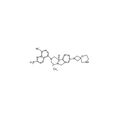 Bc1ccc2c(N3C[C@@H](C)N4Cc5cc(N6CC7(CNCCO7)C6)ccc5[C@H]4C3)ccc(C#N)c2n1